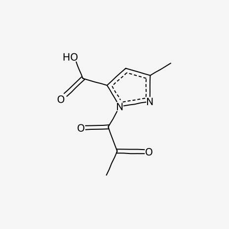 CC(=O)C(=O)n1nc(C)cc1C(=O)O